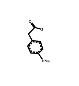 CNc1ccc(CC(=O)Cl)cc1